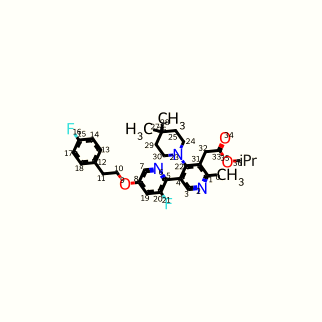 Cc1ncc(-c2ncc(OCCc3ccc(F)cc3)cc2F)c(N2CCC(C)(C)CC2)c1CC(=O)OC(C)C